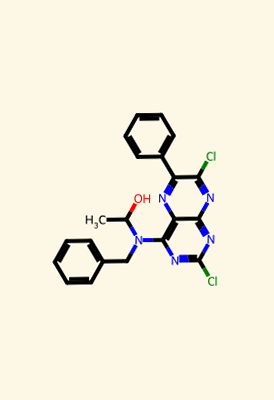 CC(O)N(Cc1ccccc1)c1nc(Cl)nc2nc(Cl)c(-c3ccccc3)nc12